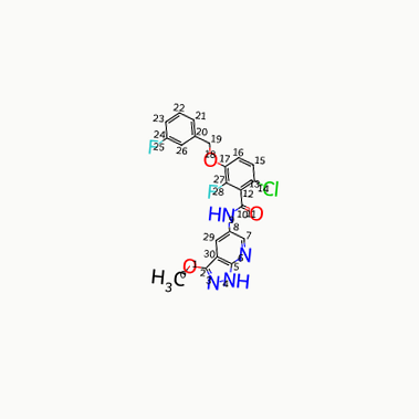 COc1n[nH]c2ncc(NC(=O)c3c(Cl)ccc(OCc4cccc(F)c4)c3F)cc12